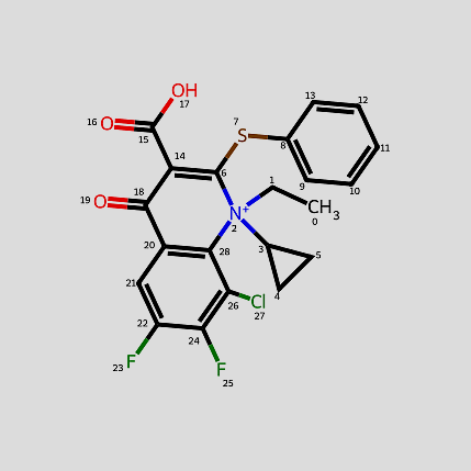 CC[N+]1(C2CC2)C(Sc2ccccc2)=C(C(=O)O)C(=O)c2cc(F)c(F)c(Cl)c21